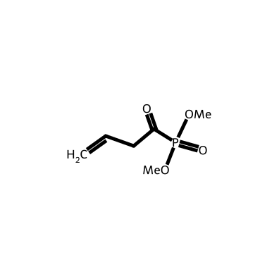 C=CCC(=O)P(=O)(OC)OC